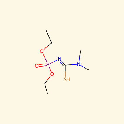 CCOP(=O)(N=C(S)N(C)C)OCC